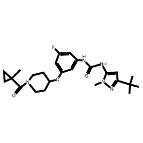 Cn1nc(C(C)(C)C)cc1NC(=O)Nc1cc(F)cc(OC2CCN(C(=O)C3(C)CC3)CC2)c1